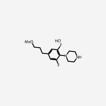 COCCCc1cc(F)c(N2CCNCC2)c(F)c1.Cl